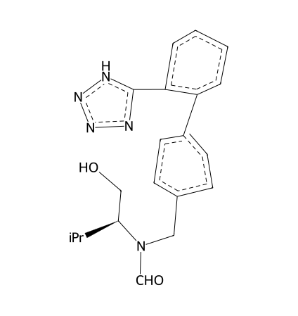 CC(C)[C@@H](CO)N(C=O)Cc1ccc(-c2ccccc2-c2nnn[nH]2)cc1